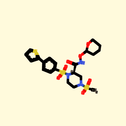 CS(=O)(=O)N1CCN(S(=O)(=O)c2ccc(-c3cccs3)cc2)[C@@H](C(=O)NOC2CCCCO2)C1